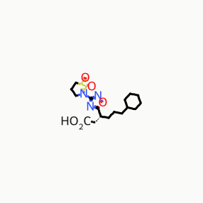 O=C(O)C[C@@H](CCCC1CCCCC1)c1nc(N2CCCS2(=O)=O)no1